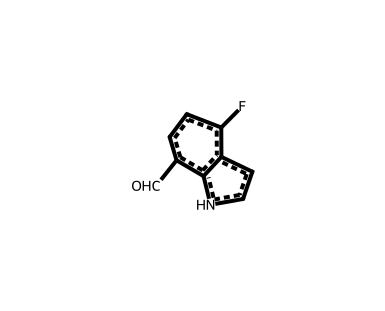 O=Cc1ccc(F)c2cc[nH]c12